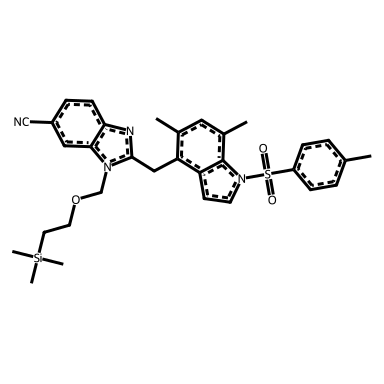 Cc1ccc(S(=O)(=O)n2ccc3c(Cc4nc5ccc(C#N)cc5n4COCC[Si](C)(C)C)c(C)cc(C)c32)cc1